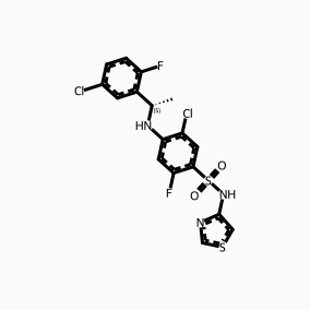 C[C@H](Nc1cc(F)c(S(=O)(=O)Nc2cscn2)cc1Cl)c1cc(Cl)ccc1F